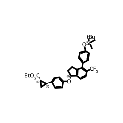 CCOC(=O)[C@H]1C[C@@H]1c1ccc(O[C@@H]2CCc3c2ccc(C(F)(F)F)c3-c2ccc(O[Si](C)(C)C(C)(C)C)cc2)cc1